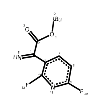 CC(C)(C)OC(=O)C(=N)c1ccc(F)nc1F